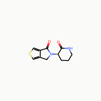 O=C1NCCC[C@H]1N1Cc2cscc2C1=O